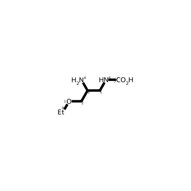 CCOCC(N)CNC(=O)O